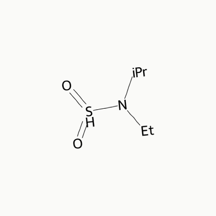 CCN(C(C)C)[SH](=O)=O